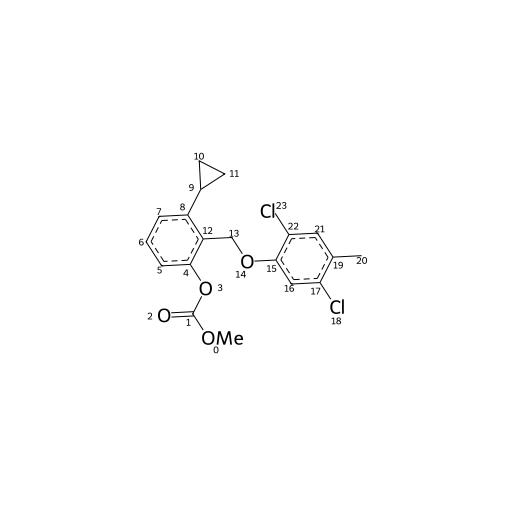 COC(=O)Oc1cccc(C2CC2)c1COc1cc(Cl)c(C)cc1Cl